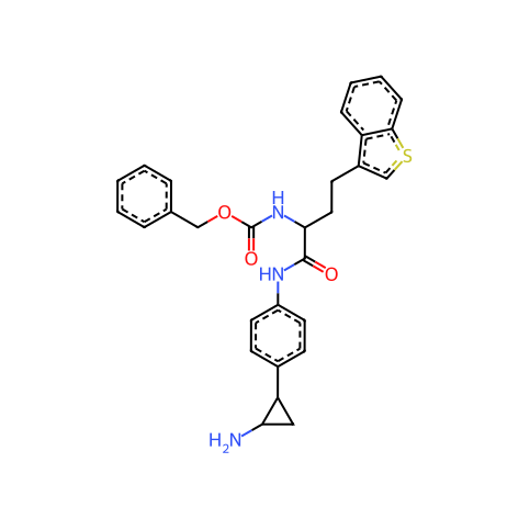 NC1CC1c1ccc(NC(=O)C(CCc2csc3ccccc23)NC(=O)OCc2ccccc2)cc1